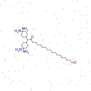 NC1(N)CCC(C(C(=O)CCCCCCCCCCCCCCCCC=O)C2CCC(N)(N)CC2)CC1